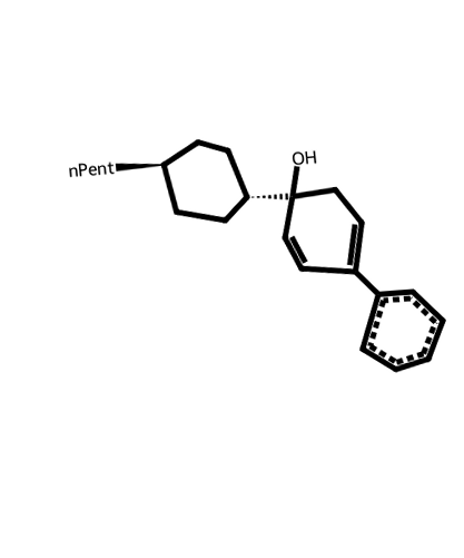 CCCCC[C@H]1CC[C@H](C2(O)C=CC(c3ccccc3)=CC2)CC1